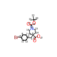 COC(=O)C1(Cc2ccc(Br)cc2)CCN(C(=O)OC(C)(C)C)CC1